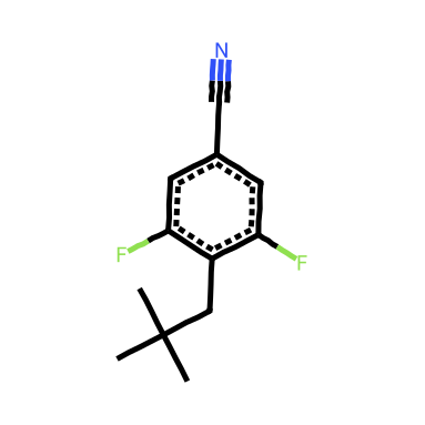 CC(C)(C)Cc1c(F)cc(C#N)cc1F